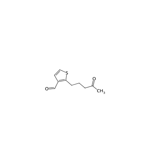 CC(=O)CCCc1sccc1C=O